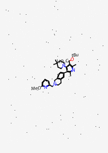 COc1cccc(CN2CCc3cc(-c4c(C)nc(C)c(C(OC(C)(C)C)C(=O)O)c4N4CCC(C)(C)CC4)ccc3C2)n1